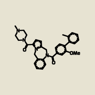 COc1cc(C(=O)N2Cc3ccc(C(=O)N4CCN(C)CC4)n3Cc3ccccc32)ccc1-c1ccccc1C